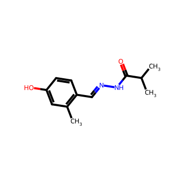 Cc1cc(O)ccc1C=NNC(=O)C(C)C